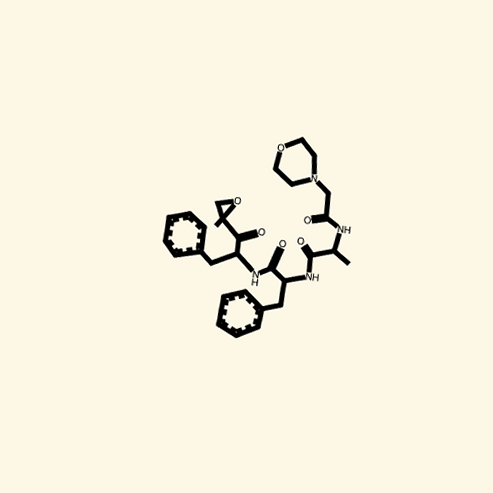 CC(NC(=O)CN1CCOCC1)C(=O)NC(Cc1ccccc1)C(=O)NC(Cc1ccccc1)C(=O)C1(C)CO1